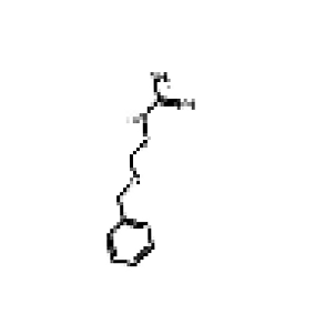 N=C(N)NCCOCc1ccccc1